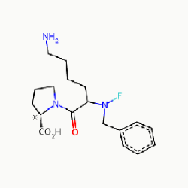 NCCCCC(C(=O)N1CCC[C@@H]1C(=O)O)N(F)Cc1ccccc1